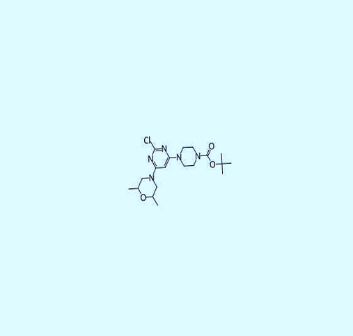 CC1CN(c2cc(N3CCN(C(=O)OC(C)(C)C)CC3)nc(Cl)n2)CC(C)O1